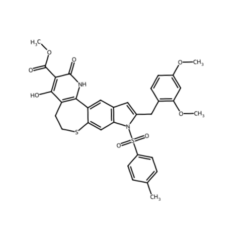 COC(=O)c1c(O)c2c([nH]c1=O)-c1cc3cc(Cc4ccc(OC)cc4OC)n(S(=O)(=O)c4ccc(C)cc4)c3cc1SCC2